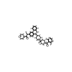 Cc1ncnc(C)c1C(=O)N1CCC(C)(N2CCC(N(Cc3ccccc3)c3ccc(C(C)C(=O)N4CCOCC4)cc3)CC2)CC1